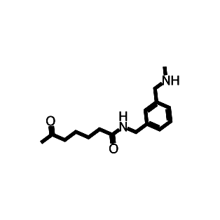 CNCc1cccc(CNC(=O)CCCCC(C)=O)c1